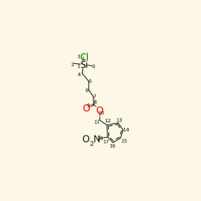 C[Si](C)(Cl)CCCCC(=O)OCc1ccccc1[N+](=O)[O-]